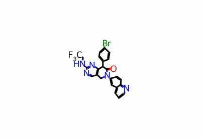 O=C1C(c2ccc(Br)cc2)c2nc(NCC(F)(F)F)ncc2CN1c1ccc2ncccc2c1